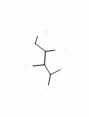 CCC(CC)C(O)C(O)CO